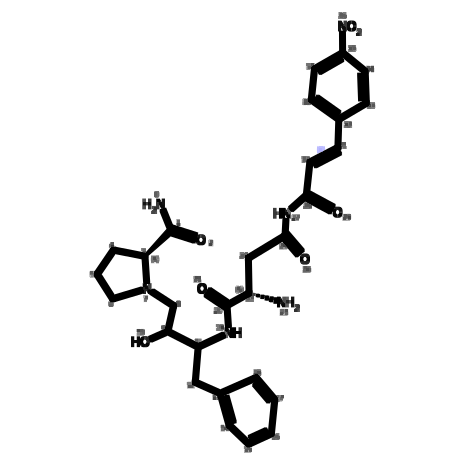 NC(=O)[C@@H]1CCCN1CC(O)C(Cc1ccccc1)NC(=O)[C@@H](N)CC(=O)NC(=O)/C=C/c1ccc([N+](=O)[O-])cc1